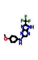 COc1ccc(Nc2cnc3[nH]c(C(F)(F)F)nc3n2)cc1